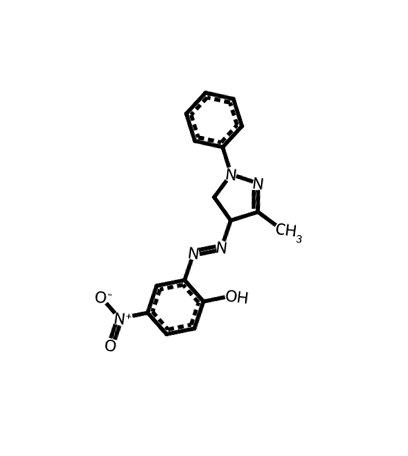 CC1=NN(c2ccccc2)CC1N=Nc1cc([N+](=O)[O-])ccc1O